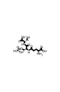 N[C@@H](CCC(=O)N[C@@H](COP(=O)(O)O)C(=O)N[C@@H](CS)C(=O)O)C(=O)O